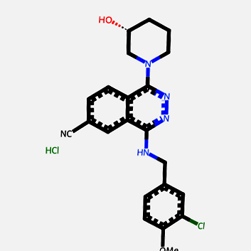 COc1ccc(CNc2nnc(N3CCC[C@@H](O)C3)c3ccc(C#N)cc23)cc1Cl.Cl